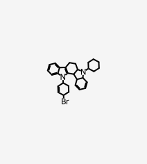 BrC1C=CC(n2c3c(c4ccccc42)CCC2C3C3C=CC=CC3N2C2CCCCC2)CC1